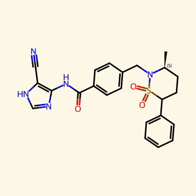 C[C@H]1CCC(c2ccccc2)S(=O)(=O)N1Cc1ccc(C(=O)Nc2nc[nH]c2C#N)cc1